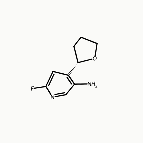 Nc1cnc(F)cc1[C@@H]1CCCO1